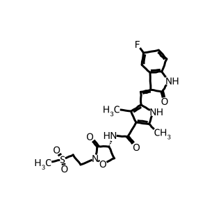 Cc1[nH]c(/C=C2\C(=O)Nc3ccc(F)cc32)c(C)c1C(=O)N[C@@H]1CON(CCS(C)(=O)=O)C1=O